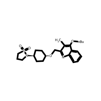 CCCCOc1c(C)c(CO[C@H]2CC[C@H](N3CCCS3(=O)=O)CC2)nc2ccccc12